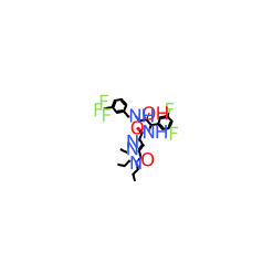 CCCN(CCC)C(=O)c1cc(C(=O)NC(c2cc(F)cc(F)c2)[C@H](O)CNCc2cccc(C(F)(F)F)c2)nn1CC